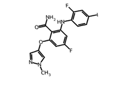 Cn1cc(Oc2cc(F)cc(Nc3ccc(I)cc3F)c2C(N)=O)cn1